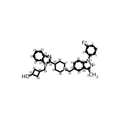 Cc1nn(-c2cccc(F)c2)c2ccc(CN3CCC(c4nc5ccccc5n4CC4CC(O)C4)CC3)cc12